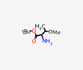 COC(C)C(N)C(=O)OC(C)(C)C